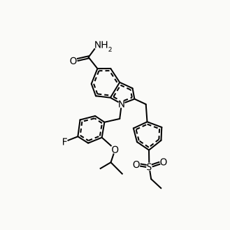 CCS(=O)(=O)c1ccc(Cc2cc3cc(C(N)=O)ccc3n2Cc2ccc(F)cc2OC(C)C)cc1